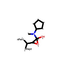 CCCCCCCC(CCCCC)C1OC1(O)N(C)C1CCCC1